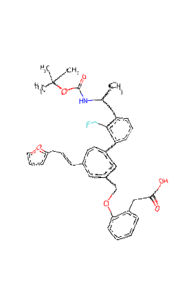 CC(NC(=O)OC(C)(C)C)c1cccc(-c2cc(C=Cc3ccco3)cc(COc3ccccc3CC(=O)O)c2)c1F